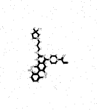 C=CC(=O)N1CCN(c2nc(OCCCN3CCC(C)(F)C3)nc3c(F)c(-c4c(O)cccc4F)c(Cl)cc23)CC1